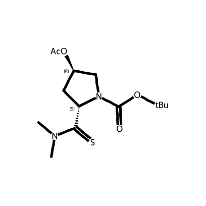 CC(=O)O[C@@H]1C[C@@H](C(=S)N(C)C)N(C(=O)OC(C)(C)C)C1